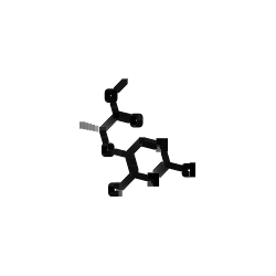 COC(=O)[C@@H](C)Oc1cnc(Cl)nc1Cl